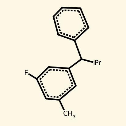 Cc1cc(F)cc(C(c2ccccc2)C(C)C)c1